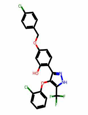 Oc1cc(OCc2ccc(Cl)cc2)ccc1-c1n[nH]c(C(F)(F)F)c1Oc1ccccc1Cl